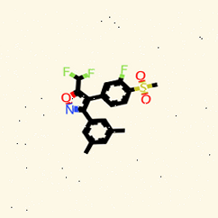 Cc1cc(C)cc(-c2noc(C(F)F)c2-c2ccc(S(C)(=O)=O)c(F)c2)c1